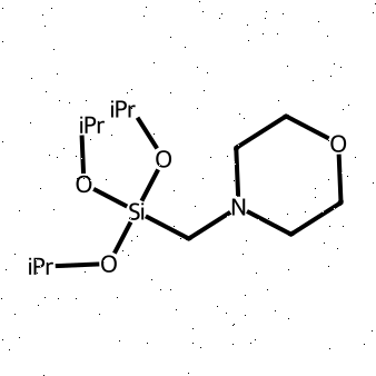 CC(C)O[Si](CN1CCOCC1)(OC(C)C)OC(C)C